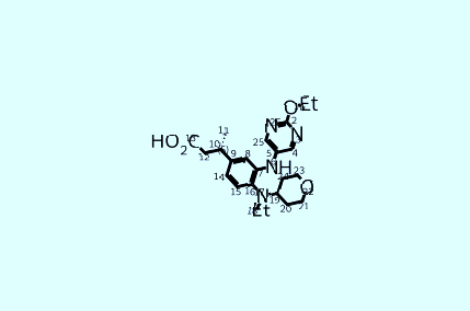 CCOc1ncc(Nc2cc([C@@H](C)CC(=O)O)ccc2N(CC)C2CCOCC2)cn1